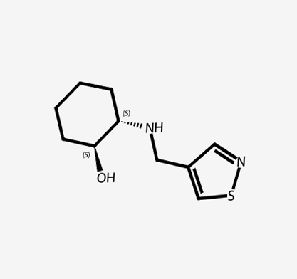 O[C@H]1CCCC[C@@H]1NCc1cnsc1